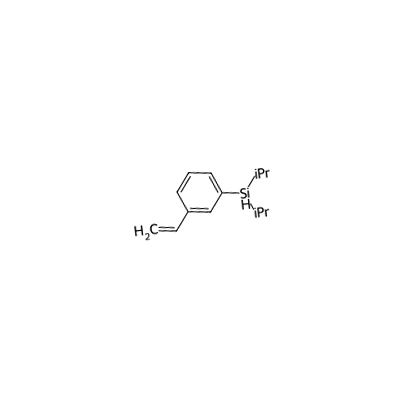 C=Cc1cccc([SiH](C(C)C)C(C)C)c1